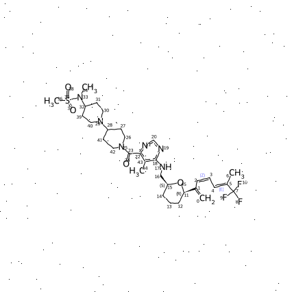 C=C(/C=C\C=C(/C)C(F)(F)F)[C@H]1CCC[C@@H](CNc2ncnc(C(=O)N3CCC(N4CCC(N(C)S(C)(=O)=O)CC4)CC3)c2C)O1